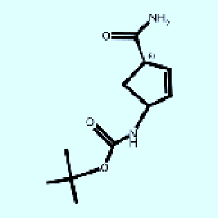 CC(C)(C)OC(=O)NC1C=C[C@H](C(N)=O)C1